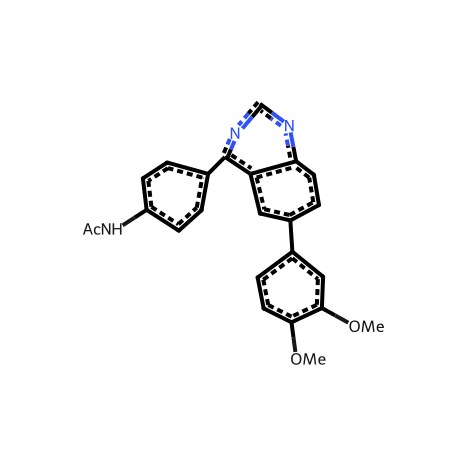 COc1ccc(-c2ccc3ncnc(-c4ccc(NC(C)=O)cc4)c3c2)cc1OC